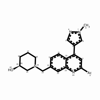 CC(=O)c1cc(-c2cnn(C)c2)c2ccc(CN3CCC[C@H](O)C3)cc2n1